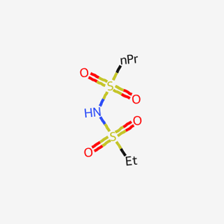 CCCS(=O)(=O)NS(=O)(=O)CC